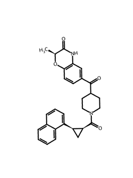 C[C@@H]1Oc2ccc(C(=O)C3CCN(C(=O)[C@H]4C[C@H]4c4cccc5ccccc45)CC3)cc2NC1=O